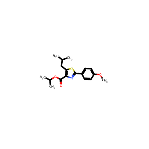 COc1ccc(-c2nc(C(=O)OC(C)C)c(CC(C)C)s2)cc1